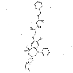 CCCC[C@@]1(CC)CN(c2ccccc2)c2cc(Br)c(OCC(=O)NCC(=O)OCc3ccccc3)cc2S(=O)(=O)C1